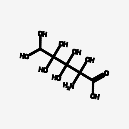 NC(O)(C(=O)O)C(O)(O)C(O)(O)C(O)O